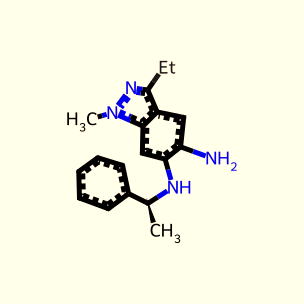 CCc1nn(C)c2cc(N[C@@H](C)c3ccccc3)c(N)cc12